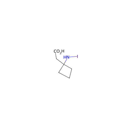 O=C(O)CC1(NI)CCC1